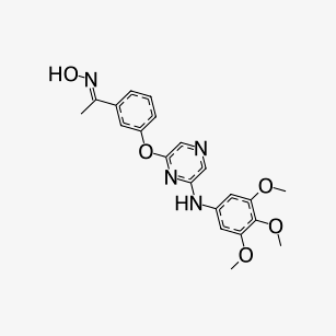 COc1cc(Nc2cncc(Oc3cccc(/C(C)=N/O)c3)n2)cc(OC)c1OC